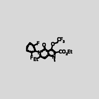 CCOC(=O)c1c(OCC(F)(F)F)c2c(=O)n(-c3c(F)cccc3F)c(CC)cc2n1C